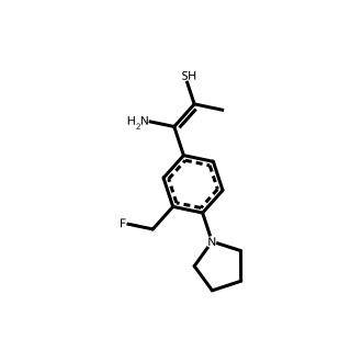 C/C(S)=C(/N)c1ccc(N2CCCC2)c(CF)c1